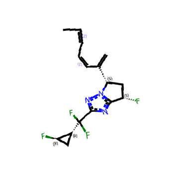 C=C(/C=C\C=C/C)[C@@H]1C[C@H](F)c2nc(C(F)(F)[C@@H]3C[C@H]3F)nn21